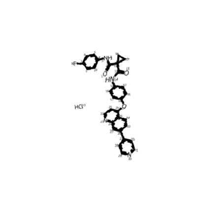 Cl.O=C(Nc1ccc(F)cc1)C1(C(=O)Nc2ccc(Oc3ccnc4cc(-c5ccncc5)ccc34)cc2)CC1